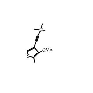 COc1c(C#C[Si](C)(C)C)csc1C